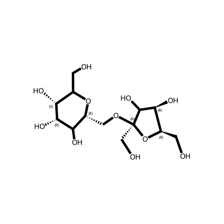 OCC1O[C@H](CO[C@]2(CO)O[C@H](CO)[C@H](O)C2O)C(O)[C@H](O)[C@@H]1O